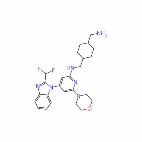 NCC1CCC(CNc2cc(-n3c(C(F)F)nc4ccccc43)cc(N3CCOCC3)n2)CC1